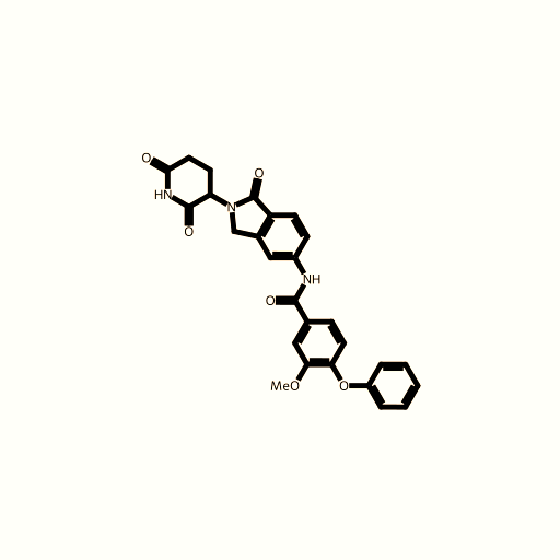 COc1cc(C(=O)Nc2ccc3c(c2)CN(C2CCC(=O)NC2=O)C3=O)ccc1Oc1ccccc1